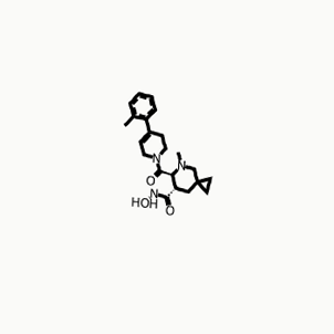 Cc1ccccc1C1=CCN(C(=O)[C@@H]2[C@@H](C(=O)NO)CC3(CC3)CN2C)CC1